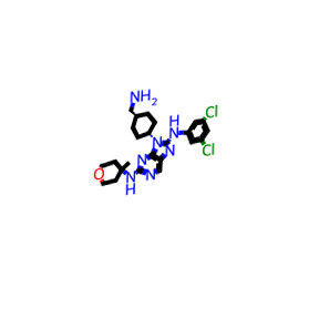 CC1(Nc2ncc3nc(Nc4cc(Cl)cc(Cl)c4)n([C@H]4CC[C@H](CN)CC4)c3n2)CCOCC1